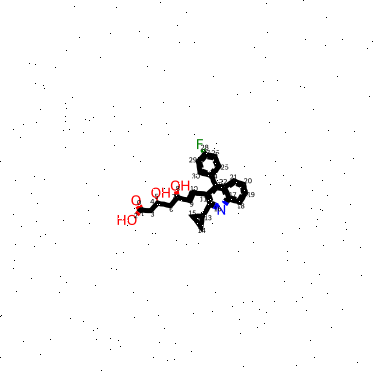 O=C(O)C[C@H](O)CC(O)/C=C/c1c(C2CC2)nc2ccccc2c1-c1ccc(F)cc1